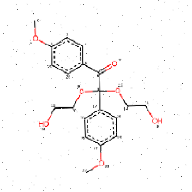 COc1ccc(C(=O)C(OCCO)(OCCO)c2ccc(OC)cc2)cc1